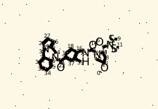 CO[C@@H]1C[C@@H](C(=O)N(SC)SC)N(C(=O)NCc2ccc(C(=O)N3Cc4cccn4Cc4ccccc43)cc2C)C1